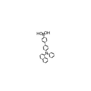 OB(O)c1ccc(-c2ccc(N(c3ccccc3)c3cccc4ccccc34)cc2)cc1